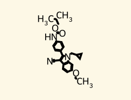 CCOc1ccc2c(C#N)c(-c3ccc(NC(=O)OCC(C)C)cc3)n(CC3CC3)c2c1